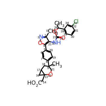 Cc1noc(-c2ccc(C3(C)COC4(CC(=O)O)CC4C3)cc2)c1NC(=O)OC(C)c1cccc(Cl)c1